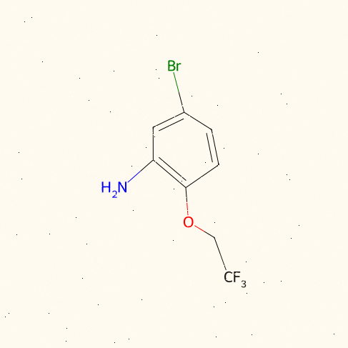 Nc1cc(Br)ccc1OCC(F)(F)F